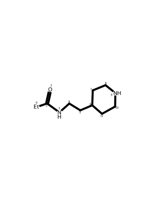 CCC(=O)NCCC1CCNCC1